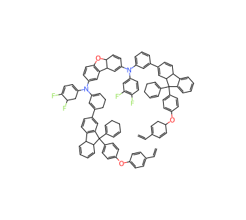 C=CC1=CCC(Oc2ccc(C3(C4=CCCC=C4)c4ccccc4C4C=CC(c5cccc(N(C6=CC7c8cc(N(C9=CCCC(c%10ccc%11c(c%10)C(C%10=CCCC=C%10)(c%10ccc(Oc%12ccc(C=C)cc%12)cc%10)C%10C=CC=CC%11%10)=C9)C9=CC=C(F)C(F)C9)ccc8OC7C=C6)c6ccc(F)c(F)c6)c5)=CC43)cc2)C=C1